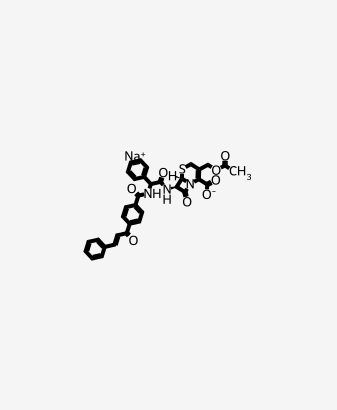 CC(=O)OCC1=C(C(=O)[O-])N2C(=O)[C@@H](NC(=O)C(NC(=O)c3ccc(C(=O)C=Cc4ccccc4)cc3)c3ccccc3)[C@H]2SC1.[Na+]